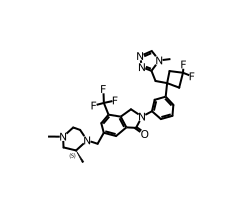 C[C@H]1CN(C)CCN1Cc1cc2c(c(C(F)(F)F)c1)CN(c1cccc(C3(Cc4nncn4C)CC(F)(F)C3)c1)C2=O